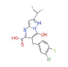 CC(C)c1cc2nc(C(=O)O)c(Cc3ccc(F)c(Cl)c3)c(O)n2n1